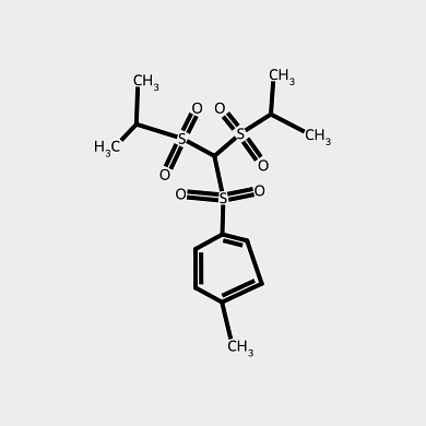 Cc1ccc(S(=O)(=O)C(S(=O)(=O)C(C)C)S(=O)(=O)C(C)C)cc1